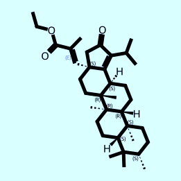 CCOC(=O)/C(C)=C/[C@@]12CC[C@]3(C)[C@H](CC[C@@H]4[C@@]5(C)CC[C@H](C)C(C)(C)[C@@H]5CC[C@]43C)C1=C(C(C)C)C(=O)C2